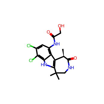 C[C@H]1C(=O)NCC(C)(C)c2[nH]c3c(Cl)c(Cl)cc(NC(=O)CO)c3c21